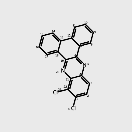 Clc1ccc2nc3c4ccccc4c4ccccc4c3nc2c1Cl